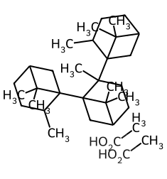 CC(=O)O.CC(=O)O.CC1CCC2CC1(C1(C)CCC3CC1(C14CC(CCC1C)C4(C)C)C3(C)C)C2(C)C